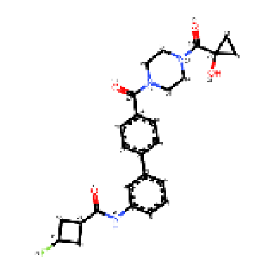 O=C(Nc1cccc(-c2ccc(C(=O)N3CCN(C(=O)C4(O)CC4)CC3)cc2)c1)C1CC(F)C1